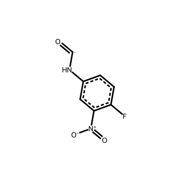 O=[C]Nc1ccc(F)c([N+](=O)[O-])c1